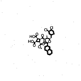 COC(=O)[C@@H]1[C@H](C(=O)O)[C@@H](C(=O)O)[C@H]1C(=O)N[C@@H](C)[C@H](Cc1ccc(Cl)c(Cl)c1)OC(=O)c1ccc2ccccc2c1